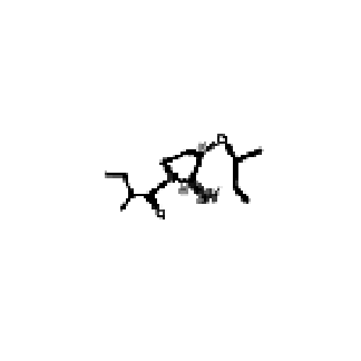 CCC(C)O[C@H]1CCN(C(=O)C(C)CC)[C@@H]1S